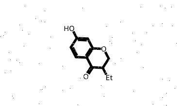 CCC1COc2cc(O)ccc2C1=O